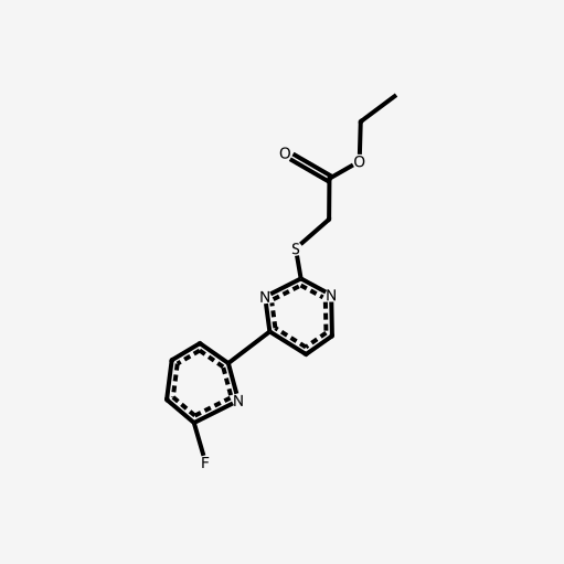 CCOC(=O)CSc1nccc(-c2cccc(F)n2)n1